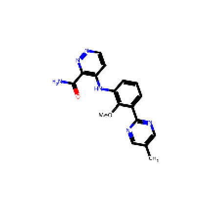 COc1c(Nc2ccnnc2C(N)=O)cccc1-c1ncc(C)cn1